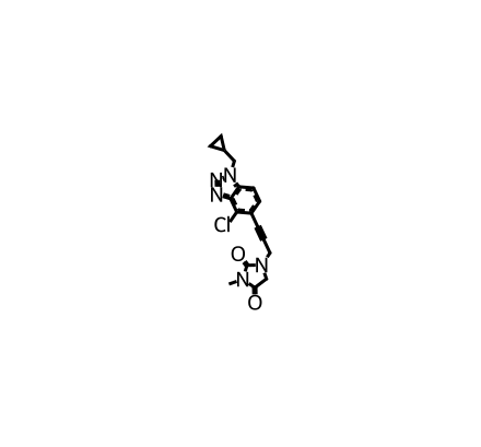 CN1C(=O)CN(CC#Cc2ccc3c(nnn3CC3CC3)c2Cl)C1=O